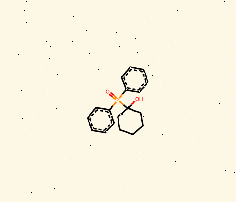 O=P(c1ccccc1)(c1ccccc1)C1(O)CCCCC1